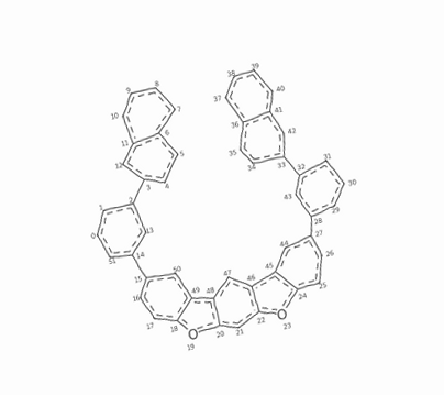 c1cc(-c2ccc3ccccc3c2)cc(-c2ccc3oc4cc5oc6ccc(-c7cccc(-c8ccc9ccccc9c8)c7)cc6c5cc4c3c2)c1